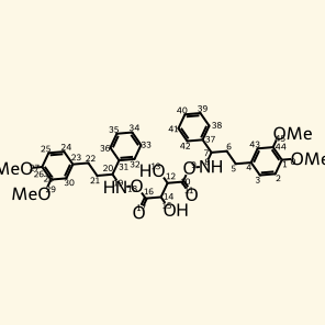 COc1ccc(CCC(NOC(=O)C(O)C(O)C(=O)ONC(CCc2ccc(OC)c(OC)c2)c2ccccc2)c2ccccc2)cc1OC